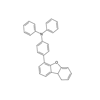 C1=CCC2C(=C1)Oc1c(-c3ccc(N(c4ccccc4)c4ccccc4)cc3)cccc12